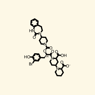 O=C(O)C1CC([N+]2CCCCC2C(=O)[O-])CCN1C(=O)[C@@H](Cc1ccc(O)c(Br)c1)OC(=O)N1CCC(N2CCc3ccccc3NC2=O)CC1